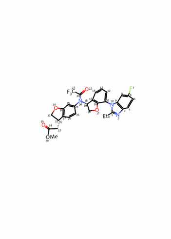 CCc1nc2ccc(F)cc2n1-c1cccc2c1OC[C@H]2N(C(=O)C(F)(F)F)c1ccc2c(c1)OC[C@H]2CC(=O)OC